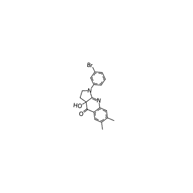 Cc1cc2c(cc1C)C(=O)C1(O)CCN(c3cccc(Br)c3)C1=N2